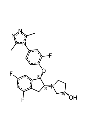 Cc1nnc(C)n1-c1ccc(O[C@@H]2c3cc(F)cc(F)c3C[C@@H]2N2CC[C@@H](O)C2)c(F)c1